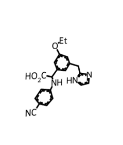 CCOc1cc(Cc2ncc[nH]2)cc(C(Nc2ccc(C#N)cc2)C(=O)O)c1